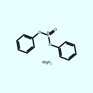 O=[PH](Oc1ccccc1)Oc1ccccc1.[MgH2]